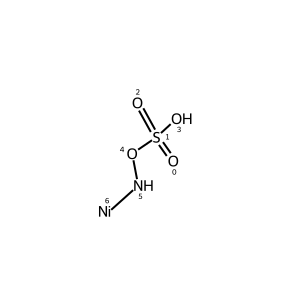 O=S(=O)(O)O[NH][Ni]